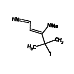 CN/C(=C\C=N)C(C)(C)I